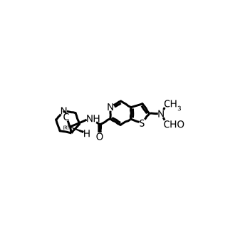 CN(C=O)c1cc2cnc(C(=O)N[C@H]3CN4CCC3CC4)cc2s1